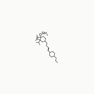 CCCC1CCC(C=CCCC2CCC(O[SiH3])(C(C)C)C(C(C)C)(C(C)C)C2)CC1